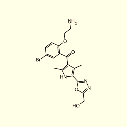 Cc1[nH]c(-c2nnc(CO)o2)c(C)c1C(=O)c1cc(Br)ccc1OCCN